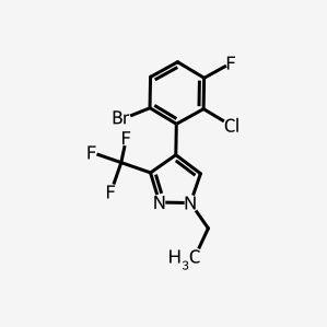 CCn1cc(-c2c(Br)ccc(F)c2Cl)c(C(F)(F)F)n1